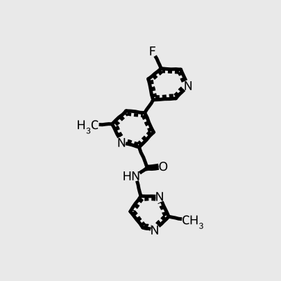 Cc1cc(-c2cncc(F)c2)cc(C(=O)Nc2ccnc(C)n2)n1